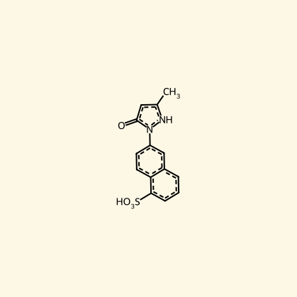 Cc1cc(=O)n(-c2ccc3c(S(=O)(=O)O)cccc3c2)[nH]1